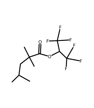 CC(C)CC(C)(C)C(=O)OC(C(F)(F)F)C(F)(F)F